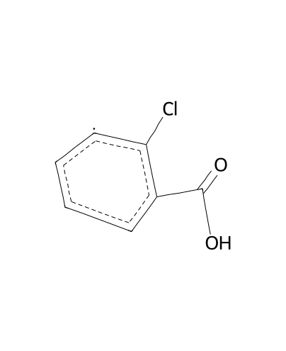 O=C(O)c1ccc[c]c1Cl